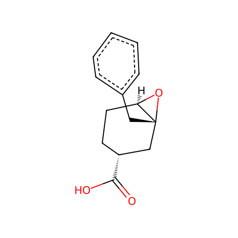 O=C(O)[C@@H]1CC[C@H]2O[C@]2(Cc2ccccc2)C1